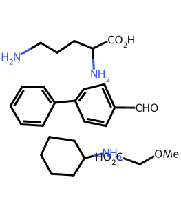 COCC(=O)O.NC1CCCCC1.NCCCC(N)C(=O)O.O=Cc1ccc(-c2ccccc2)cc1